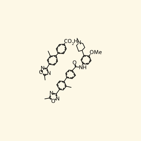 COc1ccc(NC(=O)c2ccc(-c3ccc(-c4noc(C)n4)cc3C)cc2)cc1C1CCN(C)CC1.Cc1nc(-c2ccc(-c3ccc(C(=O)O)cc3)c(C)c2)no1